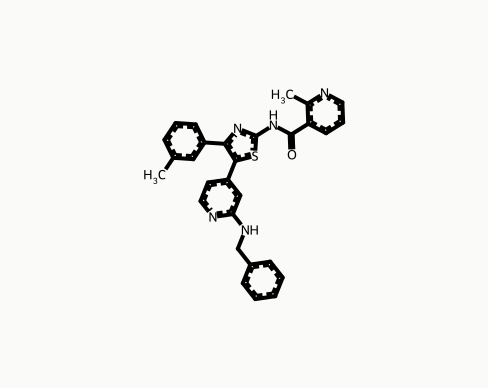 Cc1cccc(-c2nc(NC(=O)c3cccnc3C)sc2-c2ccnc(NCc3ccccc3)c2)c1